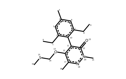 CCc1cc(C)cc(CC)c1-c1c(OCSC)c(C)nn(C)c1=O